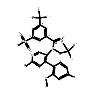 COc1cc(F)ccc1-c1cc(C)ncc1N(CC(F)(F)F)C(=O)c1cc(C(F)(F)F)cc(S(C)(=O)=O)c1